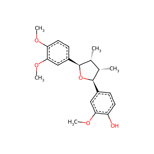 COc1cc([C@H]2O[C@@H](c3ccc(OC)c(OC)c3)[C@H](C)[C@@H]2C)ccc1O